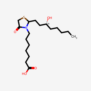 CCCCC[C@@H](O)CCC1SCC(=O)N1CCCCCCC(=O)O